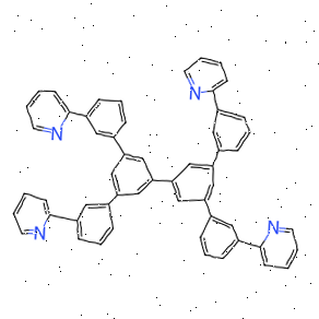 c1ccc(-c2cccc(-c3cc(-c4cc(-c5cccc(-c6ccccn6)c5)cc(-c5cccc(-c6ccccn6)c5)c4)cc(-c4cccc(-c5ccccn5)c4)c3)c2)nc1